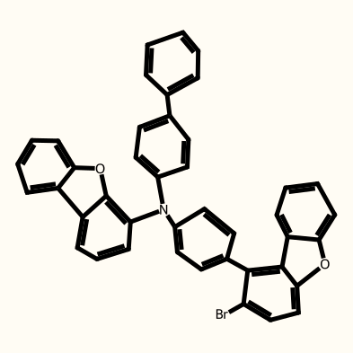 Brc1ccc2oc3ccccc3c2c1-c1ccc(N(c2ccc(-c3ccccc3)cc2)c2cccc3c2oc2ccccc23)cc1